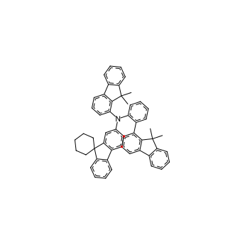 CC1(C)c2ccccc2-c2cccc(-c3ccccc3N(c3ccc4c(c3)C3(CCCCC3)c3ccccc3-4)c3cccc4c3C(C)(C)c3ccccc3-4)c21